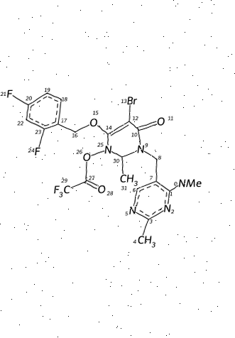 CNc1nc(C)ncc1CN1C(=O)C(Br)=C(OCc2ccc(F)cc2F)N(OC(=O)C(F)(F)F)C1C